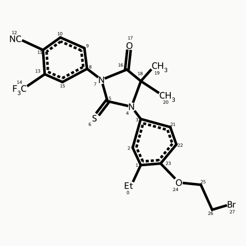 CCc1cc(N2C(=S)N(c3ccc(C#N)c(C(F)(F)F)c3)C(=O)C2(C)C)ccc1OCCBr